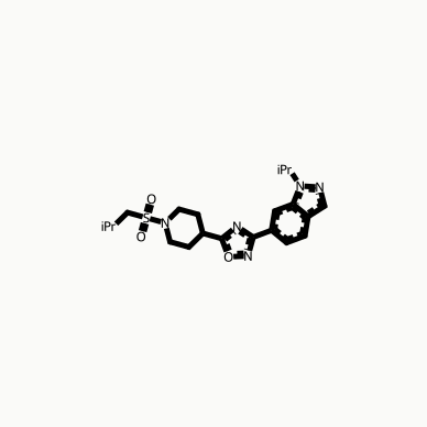 CC(C)CS(=O)(=O)N1CCC(c2nc(-c3ccc4cnn(C(C)C)c4c3)no2)CC1